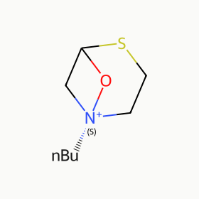 [CH2]CCC[N@+]12CCSC(C1)O2